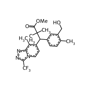 COC(=O)C(C)(C)C(c1ccc(C)c(CO)c1)c1ccn2c(C(F)(F)F)nnc2c1C